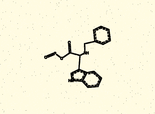 O=POC(=O)C(NCc1ccccc1)c1c[nH]c2ccccc12